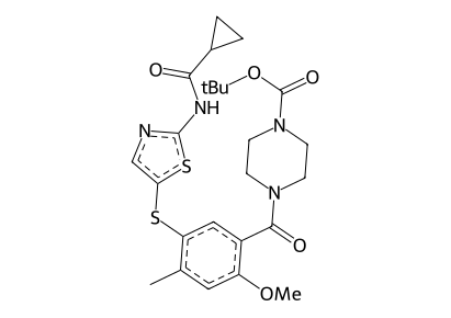 COc1cc(C)c(Sc2cnc(NC(=O)C3CC3)s2)cc1C(=O)N1CCN(C(=O)OC(C)(C)C)CC1